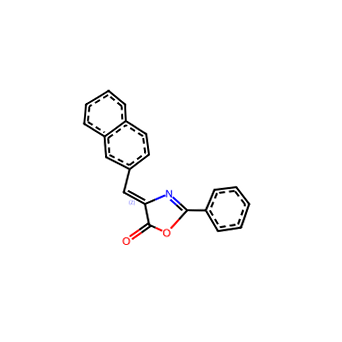 O=C1OC(c2ccccc2)=N/C1=C\c1ccc2ccccc2c1